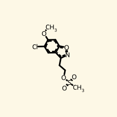 COc1cc2onc(CCOS(C)(=O)=O)c2cc1Cl